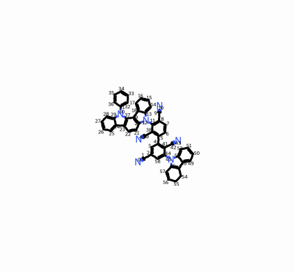 N#Cc1cc(-c2ccc(C#N)c(-n3c4ccccc4c4c3ccc3c5ccccc5n(-c5ccccc5)c34)c2C#N)c(C#N)c(-n2c3c(c4ccccc42)CCC=C3)c1